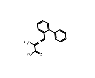 CC(=C=Cc1ccccc1-c1ccccc1)C(=O)O